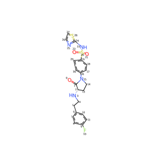 O=C1[C@@H](NCCc2ccc(F)cc2)CCN1c1ccc(S(=O)(=O)Nc2nccs2)cc1